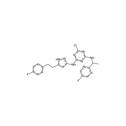 CC(Nc1nc(Cl)nc(Nc2cc(CCc3ccc(F)cc3)[nH]n2)n1)c1ncc(F)cn1